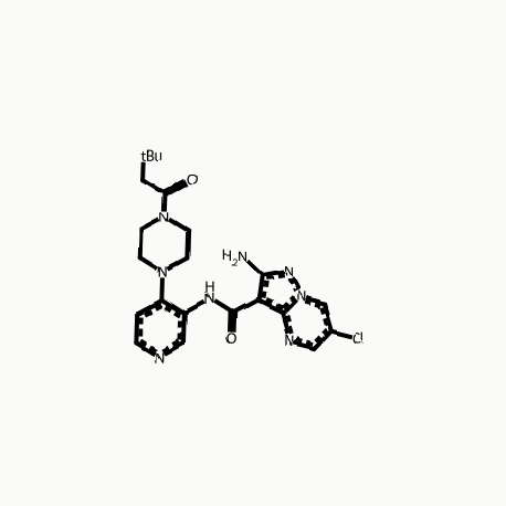 CC(C)(C)CC(=O)N1CCN(c2ccncc2NC(=O)c2c(N)nn3cc(Cl)cnc23)CC1